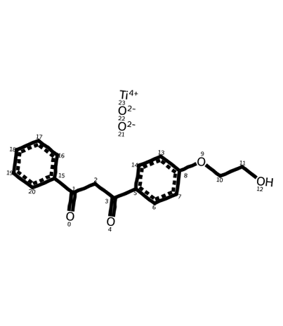 O=C(CC(=O)c1ccc(OCCO)cc1)c1ccccc1.[O-2].[O-2].[Ti+4]